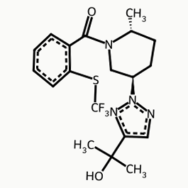 C[C@@H]1CC[C@@H](n2ncc(C(C)(C)O)n2)CN1C(=O)c1ccccc1SC(F)(F)F